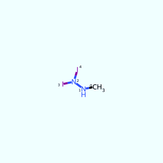 CNN(I)I